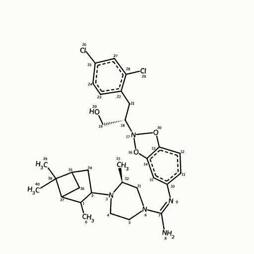 CC1C(N2CCN(C(N)=Nc3ccc4c(c3)ON([C@H](CO)Cc3ccc(Cl)cc3Cl)O4)C[C@@H]2C)CC2CC1C2(C)C